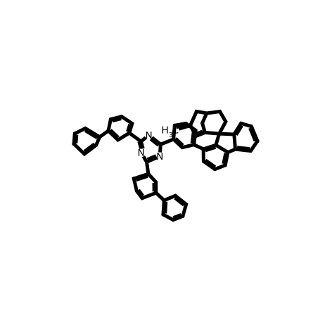 CC1C=C2CC(CCC23c2ccccc2-c2cccc(-c4cccc(-c5nc(-c6cccc(-c7ccccc7)c6)nc(-c6cccc(-c7ccccc7)c6)n5)c4)c23)C1